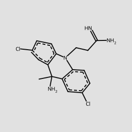 CC1(N)c2cc(Cl)ccc2N(CCC(=N)N)c2ccc(Cl)cc21